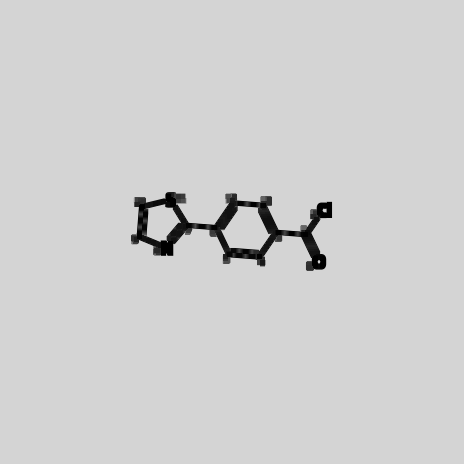 O=C(Cl)c1ccc(-c2nccs2)cc1